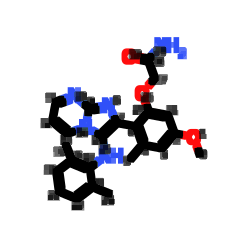 COc1cc(C)c(-c2nc3ncccn3c2Nc2c(C)cccc2C)c(OCC(N)=O)c1